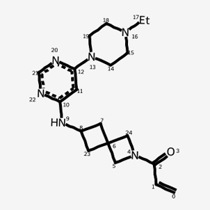 C=CC(=O)N1CC2(CC(Nc3cc(N4CCN(CC)CC4)ncn3)C2)C1